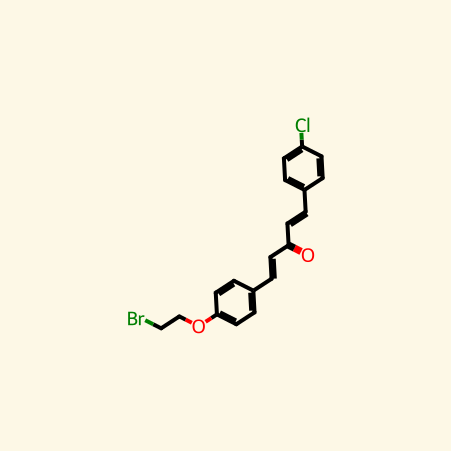 O=C(C=Cc1ccc(Cl)cc1)C=Cc1ccc(OCCBr)cc1